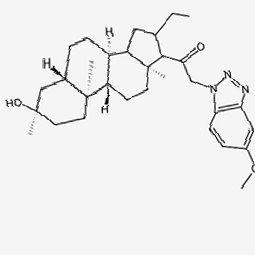 CCC1CC2[C@@H]3CC[C@H]4C[C@](C)(O)CC[C@]4(C)[C@H]3CC[C@]2(C)C1C(=O)Cn1nnc2cc(OC)ccc21